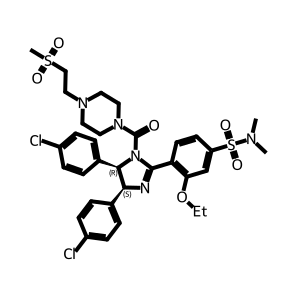 CCOc1cc(S(=O)(=O)N(C)C)ccc1C1=N[C@@H](c2ccc(Cl)cc2)[C@@H](c2ccc(Cl)cc2)N1C(=O)N1CCN(CCS(C)(=O)=O)CC1